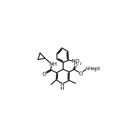 CCCCCCCOC(=O)C1=C(C)NC(C)=C(C(=O)NC2CC2)C1c1ccccc1[N+](=O)[O-]